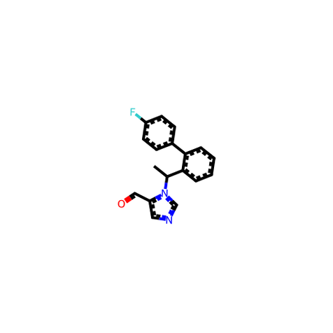 CC(c1ccccc1-c1ccc(F)cc1)n1cncc1C=O